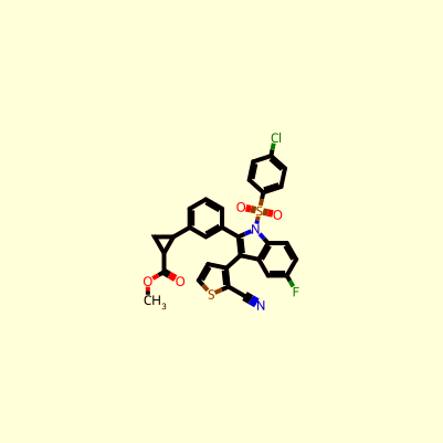 COC(=O)C1CC1c1cccc(-c2c(-c3ccsc3C#N)c3cc(F)ccc3n2S(=O)(=O)c2ccc(Cl)cc2)c1